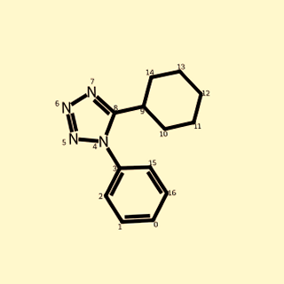 c1ccc(-n2nnnc2C2CCCCC2)cc1